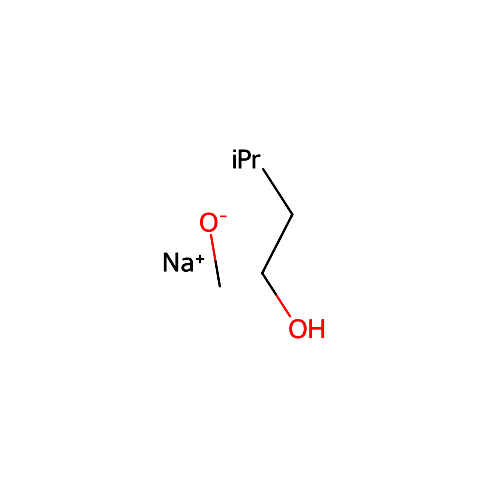 CC(C)CCO.C[O-].[Na+]